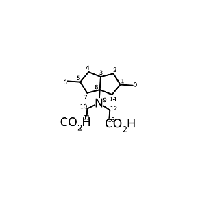 CC1CC2CC(C)CC2(N(CC(=O)O)CC(=O)O)C1